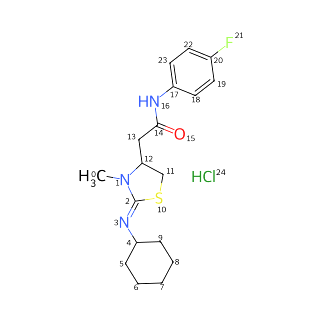 CN1C(=NC2CCCCC2)SCC1CC(=O)Nc1ccc(F)cc1.Cl